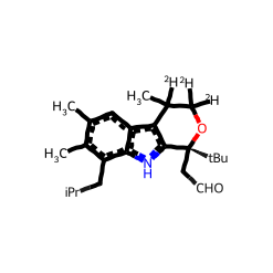 [2H]C1([2H])O[C@@](CC=O)(C(C)(C)C)c2[nH]c3c(CC(C)C)c(C)c(C)cc3c2C1([2H])C